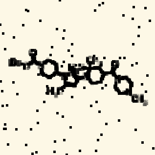 Cc1cc(N2CCC(C(=O)N3CCN(C)CC3)CC2(C)C)nn1C1CCN(C(=O)OC(C)(C)C)CC1